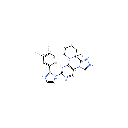 CCC12CCCCN1c1nc(-n3ccnc3-c3ccc(F)c(F)c3)ncc1-n1cnnc12